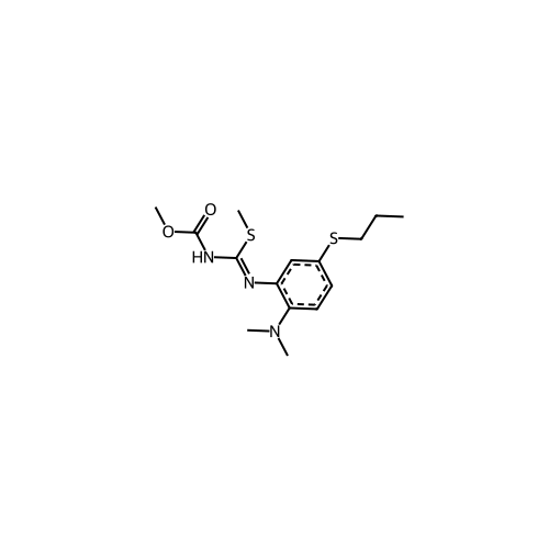 CCCSc1ccc(N(C)C)c(N=C(NC(=O)OC)SC)c1